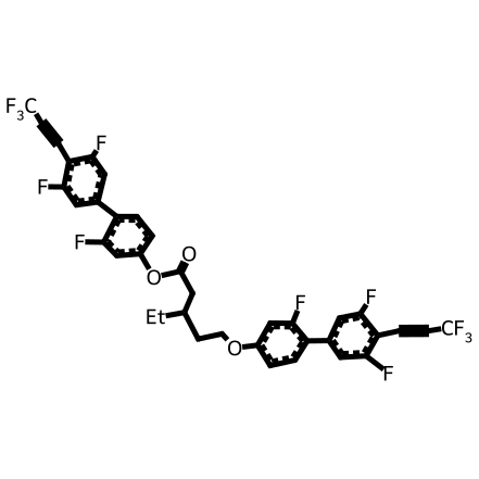 CCC(CCOc1ccc(-c2cc(F)c(C#CC(F)(F)F)c(F)c2)c(F)c1)CC(=O)Oc1ccc(-c2cc(F)c(C#CC(F)(F)F)c(F)c2)c(F)c1